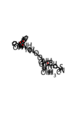 Cc1ncsc1-c1ccc(CNC(=O)C2C[C@@H](O)CN2C(=O)[C@@H](NC(=O)COCCOCCN2CCN(CCCc3cc(N4C5CCC4CN(c4cc(-c6ccccc6O)nnc4N)C5)ccn3)CC2)C(C)(C)C)cc1